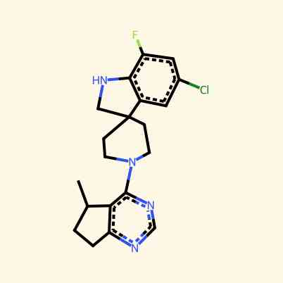 CC1CCc2ncnc(N3CCC4(CC3)CNc3c(F)cc(Cl)cc34)c21